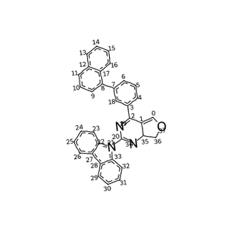 C1=C2C(c3cccc(-c4cccc5ccccc45)c3)=NC(n3c4ccccc4c4ccccc43)=NC2CO1